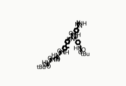 Cc1cc(NC(=O)CNC(=O)CNC(=O)CNC(=O)OC(C)(C)C)ccc1-c1ccc(C[C@H](NC(=O)[C@H]2CC[C@H](CNC(=O)OC(C)(C)C)CC2)C(=O)Nc2ccc(-c3nn[nH]n3)cc2)cc1